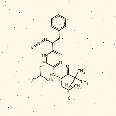 CC(C)C[C@H](NC(=O)[C@H](Cc1ccccc1)N=[N+]=[N-])C(=O)N[C@@H](CC(C)C)C(=O)C(C)(C)C